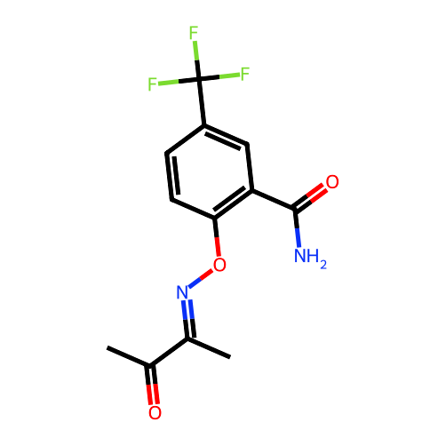 CC(=O)/C(C)=N/Oc1ccc(C(F)(F)F)cc1C(N)=O